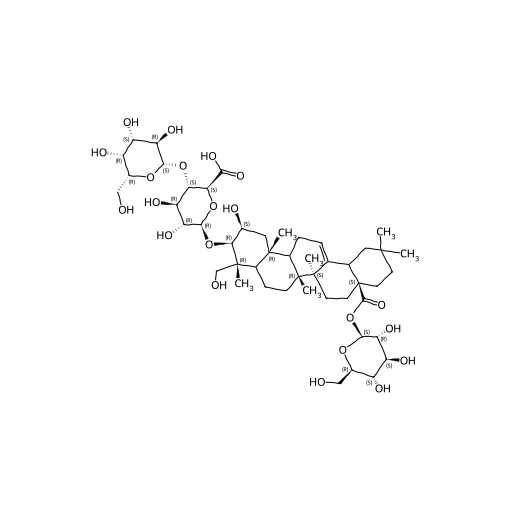 CC1(C)CC[C@]2(C(=O)O[C@@H]3O[C@H](CO)[C@@H](O)[C@H](O)[C@H]3O)CC[C@]3(C)C(=CCC4[C@@]5(C)C[C@H](O)[C@H](O[C@@H]6O[C@H](C(=O)O)[C@@H](O[C@@H]7O[C@H](CO)[C@H](O)[C@H](O)[C@H]7O)[C@H](O)[C@H]6O)[C@@](C)(CO)C5CC[C@]43C)C2C1